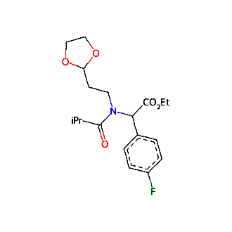 CCOC(=O)C(c1ccc(F)cc1)N(CCC1OCCO1)C(=O)C(C)C